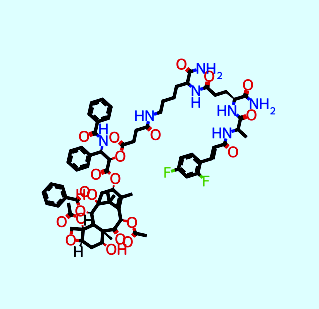 CC(=O)O[C@H]1C(=O)[C@@]2(C)[C@H]([C@H](OC(=O)c3ccccc3)[C@]3(O)C[C@H](OC(=O)[C@H](OC(=O)CCC(=O)NCCCCC(NC(=O)CC[C@H](NC(=O)C(C)NC(=O)/C=C/c4ccc(F)cc4F)C(N)=O)C(N)=O)[C@H](NC(=O)c4ccccc4)c4ccccc4)C(C)=C1C3(C)C)[C@]1(OC(C)=O)CO[C@@H]1C[C@@H]2O